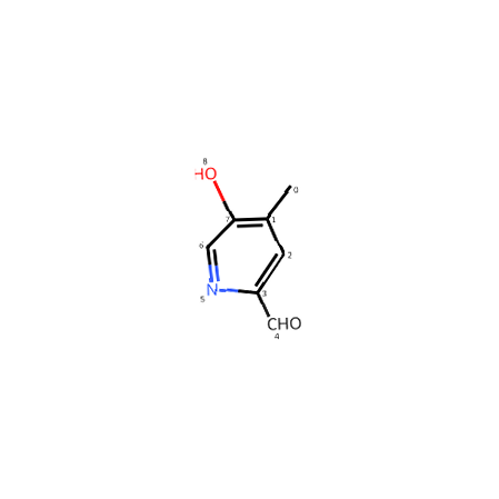 Cc1cc(C=O)ncc1O